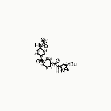 CC(C)(C)c1cc(NC(=O)N2CCCN(C(=O)C3CCC(NS(C)(=O)=O)CC3)CC2)no1